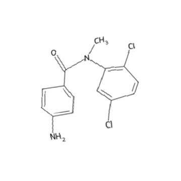 CN(C(=O)c1ccc(N)cc1)c1cc(Cl)ccc1Cl